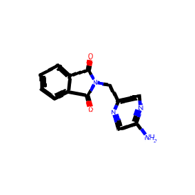 Nc1cnc(CN2C(=O)c3ccccc3C2=O)cn1